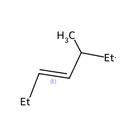 C[CH]C(C)/C=C/CC